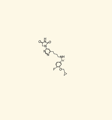 C[C@@H](NCCCCc1cc(N2CC(=O)NC2=O)ncn1)c1ccc(F)c(OCC2CC2)c1